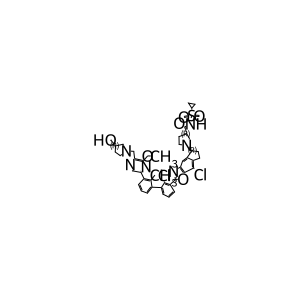 COc1nc(-c2cccc(-c3cccc(-c4nc5cc6c(c(Cl)c5o4)CC[C@H]6N4CC[C@@H](C(=O)NS(=O)(=O)C5CC5)C4)c3Cl)c2C)cnc1CN1CC[C@@H](O)C1